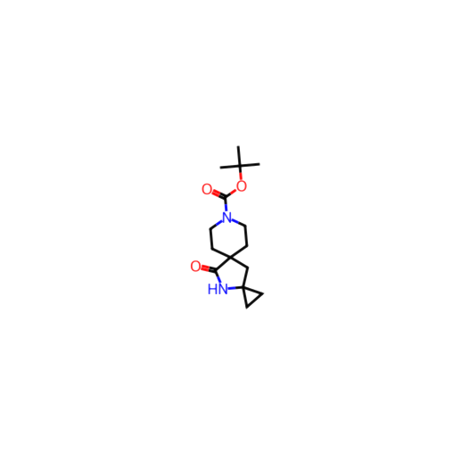 CC(C)(C)OC(=O)N1CCC2(CC1)CC1(CC1)NC2=O